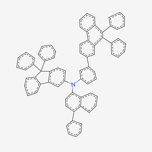 c1ccc(-c2ccc(N(c3cccc(-c4ccc5c(c4)c(-c4ccccc4)c(-c4ccccc4)c4ccccc45)c3)c3ccc4c(c3)-c3ccccc3C4(c3ccccc3)c3ccccc3)c3ccccc23)cc1